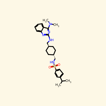 CC(C)c1ccc(S(=O)(=O)NC[C@H]2CC[C@H](CNc3nc(N(C)C)c4ccccc4n3)CC2)cc1